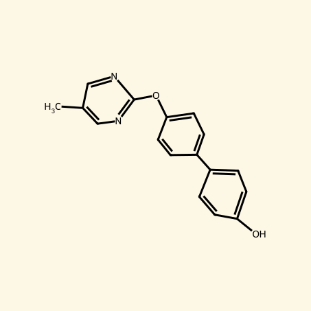 Cc1cnc(Oc2ccc(-c3ccc(O)cc3)cc2)nc1